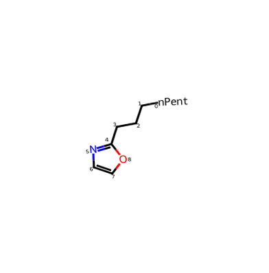 CCCCCCCCc1ncco1